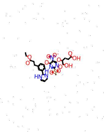 CCOC(=O)CCc1cc(Oc2nc(S(C)(=O)=O)nc(OC(CCC(=O)O)C(=O)O)c2[N+](=O)[O-])cc(C2NC=CCN2)c1